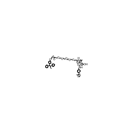 CC/C(=C(\c1ccccc1)c1ccc(OCCN(C)C(=O)CCOCCOCCOCCOCCOCCC(=O)N[C@H](C(=O)N2C[C@H](O)C[C@H]2C(=O)NCc2ccc(-c3scnc3C)cc2)C(C)(C)C)cc1)c1ccccc1